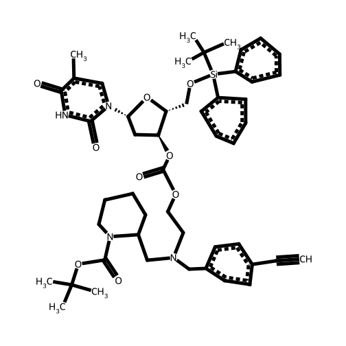 C#Cc1ccc(CN(CCOC(=O)O[C@H]2C[C@H](n3cc(C)c(=O)[nH]c3=O)O[C@@H]2CO[Si](c2ccccc2)(c2ccccc2)C(C)(C)C)CC2CCCCN2C(=O)OC(C)(C)C)cc1